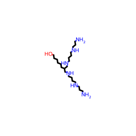 NCCCNCCCCNCC(CCCCCCO)CNCCCCNCCCN